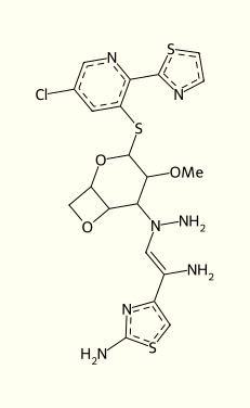 COC1C(Sc2cc(Cl)cnc2-c2nccs2)OC2COC2C1N(N)/C=C(\N)c1csc(N)n1